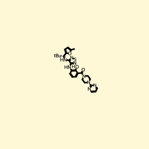 Cc1ccc([C@H](Nc2nsnc2Nc2cccc(C(=O)N3CCN(c4ncccn4)CC3)c2O)C(C)(C)C)o1